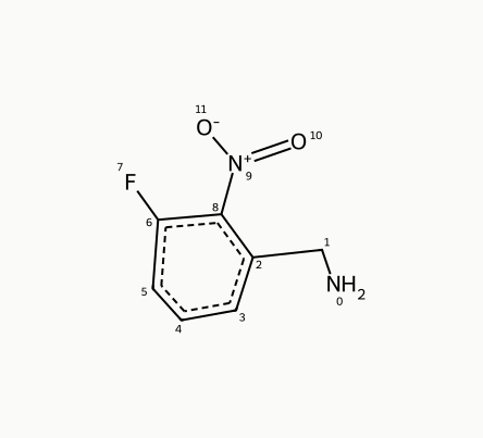 NCc1cccc(F)c1[N+](=O)[O-]